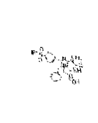 CC(C)S(=O)(=O)c1ccc(C2=Nc3c(c(=O)[nH]c(=O)n3C)[N+]2(CCCO)Cc2ccccc2)cc1